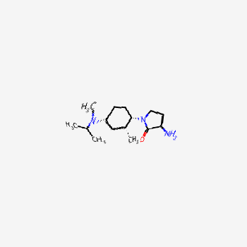 CC(C)N(C)[C@@H]1CC[C@H](N2CCC(N)C2=O)[C@H](C)C1